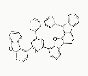 c1ccc(-c2cc(-c3cccc4oc5ccccc5c34)nc(-c3cccc4c3oc3c4ccc4c5ccccc5n(-c5ccccc5)c43)n2)cc1